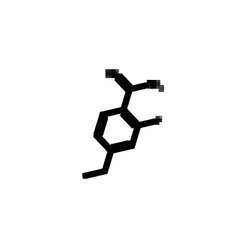 CCc1ccc(C(=N)N)c(F)c1